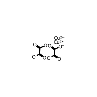 O=C([O-])C(=O)[O-].O=C([O-])C(=O)[O-].[Cu+2].[Cu+2]